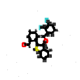 O=Cc1ccccc1-c1sc2ccccc2c1OCc1cccc(F)c1F